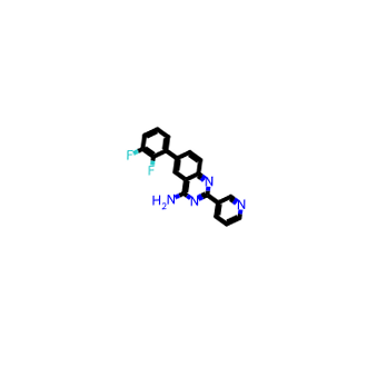 Nc1nc(-c2cccnc2)nc2ccc(-c3cccc(F)c3F)cc12